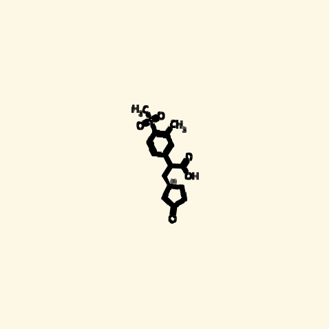 Cc1cc(C(C[C@H]2CCC(=O)C2)C(=O)O)ccc1S(C)(=O)=O